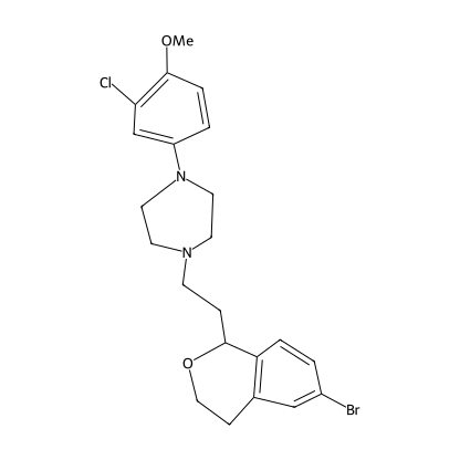 COc1ccc(N2CCN(CCC3OCCc4cc(Br)ccc43)CC2)cc1Cl